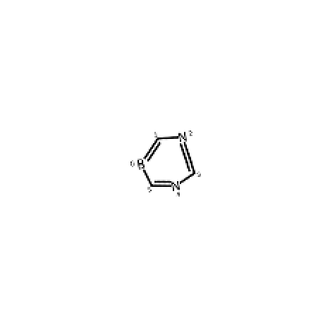 b1cncnc1